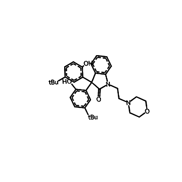 CC(C)(C)c1ccc(O)c(C2(c3cc(C(C)(C)C)ccc3O)C(=O)N(CCN3CCOCC3)c3ccccc32)c1